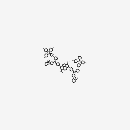 Cc1ccc([Si](c2ccc(C)cc2)(c2ccc(C)cc2)c2ccc(-c3cccc(N(c4ccc(-c5cc(C(C)C)c6ccc7c(-c8ccc(N(c9cccc(-c%10ccc([Si](c%11ccc(C)cc%11)(c%11ccc(C)cc%11)c%11ccc(C)cc%11)cc%10)c9)c9ccc%10c(c9)oc9ccccc9%10)cc8)cc(C(C)C)c8ccc5c6c78)cc4)c4ccc5c(c4)oc4ccccc45)c3)cc2)cc1